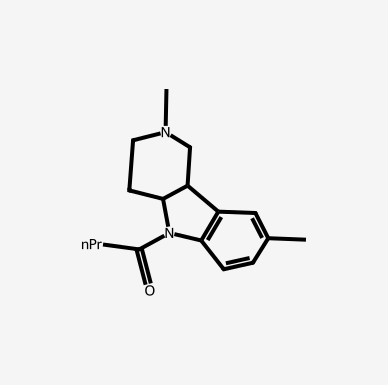 CCCC(=O)N1c2ccc(C)cc2C2CN(C)CCC21